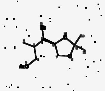 CCC(C(C)COC(C)=O)[C@@H]1COC(C)(C)O1